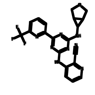 N#Cc1ncccc1Nc1nc(NC2C3COCC32)nc(-c2cccc(C(F)(F)F)n2)n1